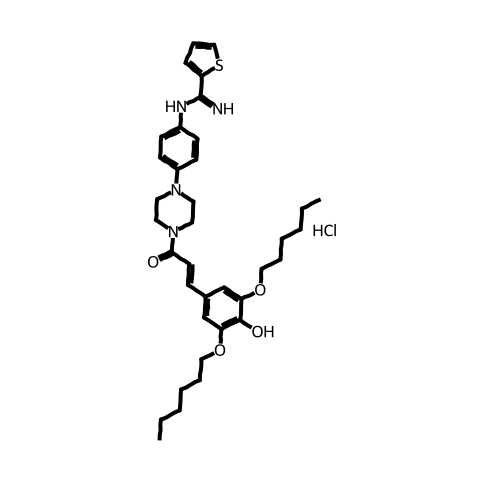 CCCCCCOc1cc(/C=C/C(=O)N2CCN(c3ccc(NC(=N)c4cccs4)cc3)CC2)cc(OCCCCCC)c1O.Cl